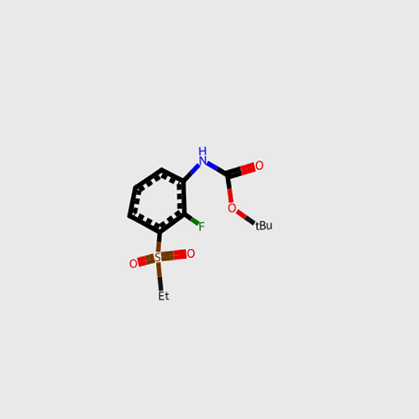 CCS(=O)(=O)c1cccc(NC(=O)OC(C)(C)C)c1F